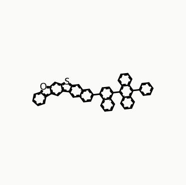 c1ccc(-c2c3ccccc3c(-c3ccc(-c4ccc5cc6c(cc5c4)sc4cc5oc7ccccc7c5cc46)c4ccccc34)c3ccccc23)cc1